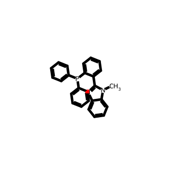 Cn1c(-c2ccccc2P(c2ccccc2)c2ccccc2)nc2ccccc21